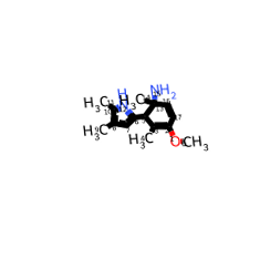 COC1=C(C)C(c2cc(C)c(C)[nH]2)C(C)(N)C=C1